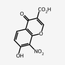 O=C(O)c1coc2c([N+](=O)[O-])c(O)ccc2c1=O